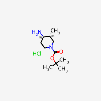 C[C@@H]1CN(C(=O)OC(C)(C)C)CC[C@H]1N.Cl